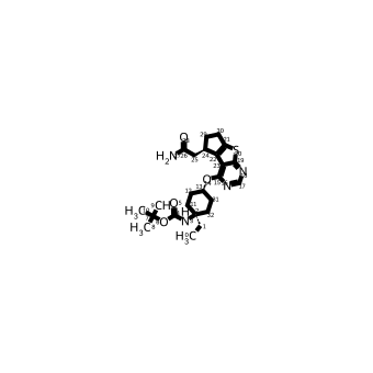 CC[C@]1(NC(=O)OC(C)(C)C)CC[C@H](Oc2ncnc3sc4c(c23)[C@@H](CC(N)=O)CC4)CC1